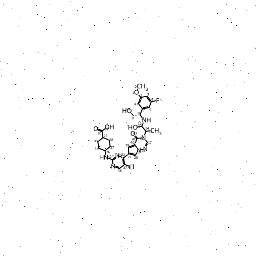 COc1cc(F)cc([C@@H](CO)NC(O)C(C)n2cnn3cc(-c4nc(NC5CCC(C(=O)O)CC5)ncc4Cl)cc3c2=O)c1